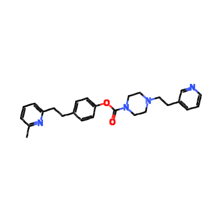 Cc1cccc(CCc2ccc(OC(=O)N3CCN(CCc4cccnc4)CC3)cc2)n1